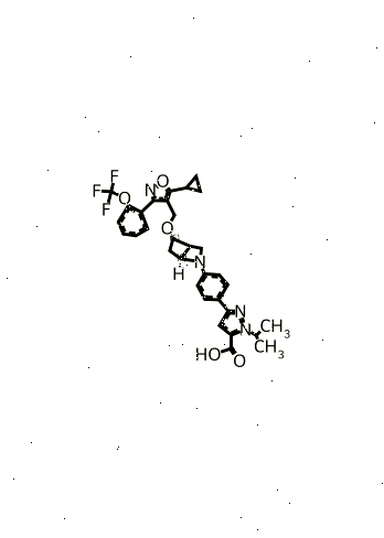 CC(C)n1nc(-c2ccc(N3CC4[C@@H](OCc5c(-c6ccccc6OC(F)(F)F)noc5C5CC5)C[C@@H]43)cc2)cc1C(=O)O